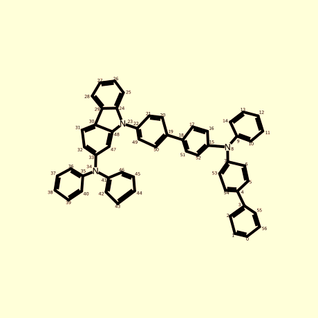 c1ccc(-c2ccc(N(c3ccccc3)c3ccc(-c4ccc(-n5c6ccccc6c6ccc(N(c7ccccc7)c7ccccc7)cc65)cc4)cc3)cc2)cc1